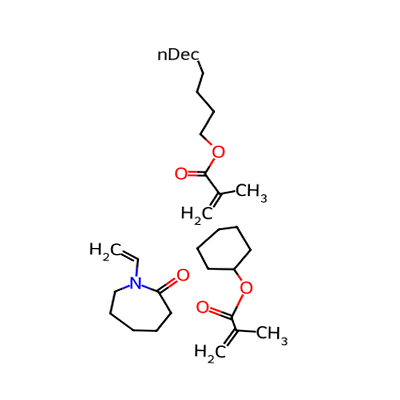 C=C(C)C(=O)OC1CCCCC1.C=C(C)C(=O)OCCCCCCCCCCCCCC.C=CN1CCCCCC1=O